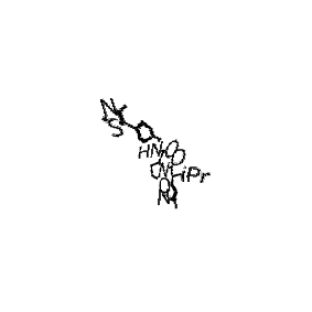 Cc1cc(C(C(=O)N2CCCC2C(=O)NCc2ccc(-c3scnc3C)cc2)C(C)C)on1